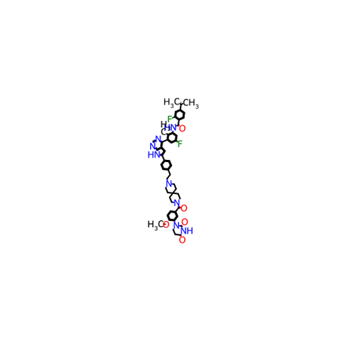 COc1ccc(C(=O)N2CCC3(CCN(CCc4ccc(-c5cc6c(-c7cc(F)cc(NC(=O)c8ccc([C](C)C)cc8F)c7C)ncnc6[nH]5)cc4)CC3)CC2)cc1N1CCC(=O)NC1=O